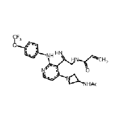 C=CC(=O)NCC(=N)c1c(N2CC(NC(C)=O)C2)ccnc1Nc1ccc(OC(F)(F)F)cc1